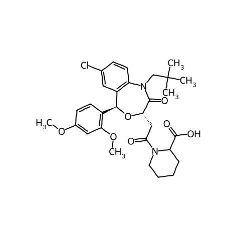 COc1ccc([C@@H]2O[C@@H](CC(=O)N3CCCCC3C(=O)O)C(=O)N(CC(C)(C)C)c3ccc(Cl)cc32)c(OC)c1